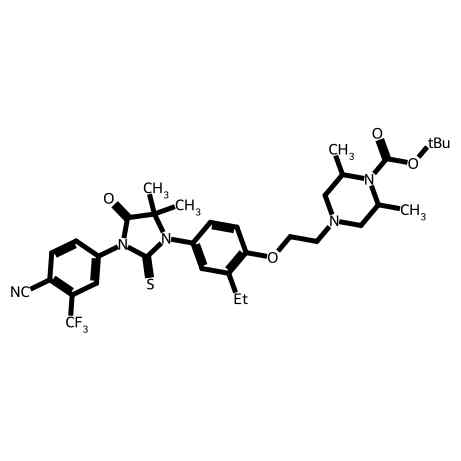 CCc1cc(N2C(=S)N(c3ccc(C#N)c(C(F)(F)F)c3)C(=O)C2(C)C)ccc1OCCN1CC(C)N(C(=O)OC(C)(C)C)C(C)C1